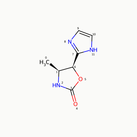 C[C@@H]1NC(=O)O[C@@H]1c1ncc[nH]1